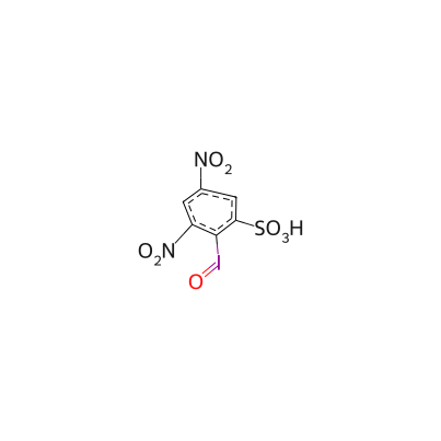 O=Ic1c([N+](=O)[O-])cc([N+](=O)[O-])cc1S(=O)(=O)O